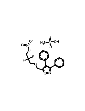 NS(=O)(=O)O.O=[N+]([O-])OCC(F)(F)COCc1onc(-c2ccccc2)c1-c1ccccc1